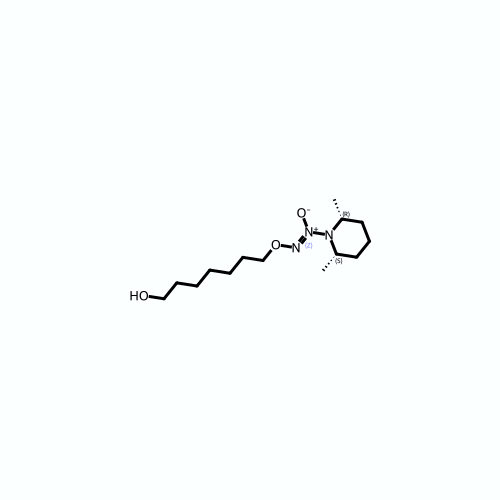 C[C@@H]1CCC[C@H](C)N1/[N+]([O-])=N/OCCCCCCCO